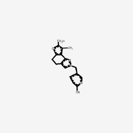 Cc1c(C(=O)O)oc2c1-c1nn(Cc3ccc(C#N)nc3)cc1CC2